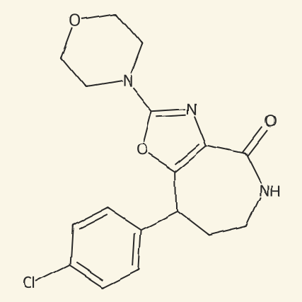 O=C1NCCC(c2ccc(Cl)cc2)c2oc(N3CCOCC3)nc21